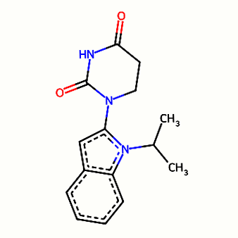 CC(C)n1c(N2CCC(=O)NC2=O)cc2ccccc21